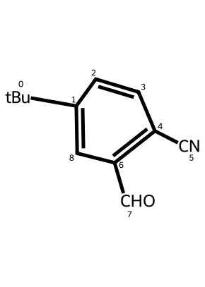 CC(C)(C)c1ccc(C#N)c(C=O)c1